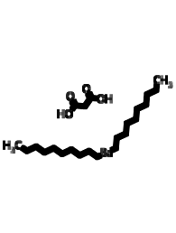 CCCCCCCCC[CH2][Ba][CH2]CCCCCCCCC.O=C(O)CC(=O)O